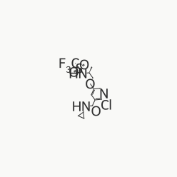 C[C@@H](COc1cnc(Cl)c(C(=O)NC2CC2)c1)NS(=O)(=O)C(F)(F)F